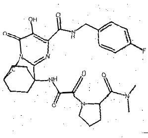 CN(C)C(=O)C1CCCN1C(=O)C(=O)NC12CCC(CC1)Cn1c2nc(C(=O)NCc2ccc(F)cc2)c(O)c1=O